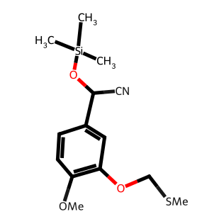 COc1ccc(C(C#N)O[Si](C)(C)C)cc1OCSC